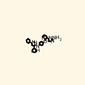 Nc1nccc(-c2cccnc2Oc2ccc(Nc3nnc(-c4ccccc4)cc3-c3ccccc3)cc2)n1